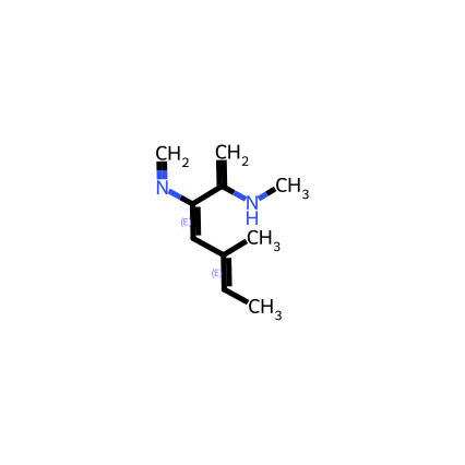 C=N/C(=C/C(C)=C/C)C(=C)NC